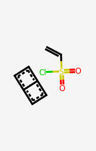 C=CS(=O)(=O)Cl.c1cc2ccc1-2